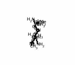 COC(C)(C)C(=O)N[C@@H](CCCCN)C(=O)COc1cncc(COC(C)(C)C(=O)N[C@@H](CCCCN)C(=O)COc2cnc(C)nc2)c1